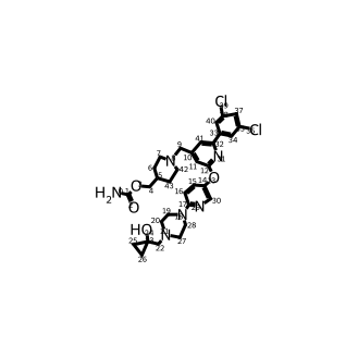 NC(=O)OCC1CCN(Cc2cc(Oc3ccc(N4CCN(CC5(O)CC5)CC4)nc3)nc(-c3cc(Cl)cc(Cl)c3)c2)CC1